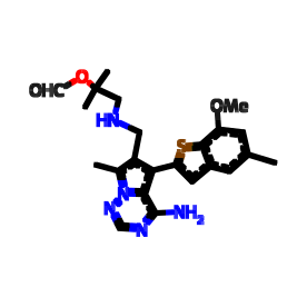 COc1cc(C)cc2cc(-c3c(CNCC(C)(C)OC=O)c(C)n4ncnc(N)c34)sc12